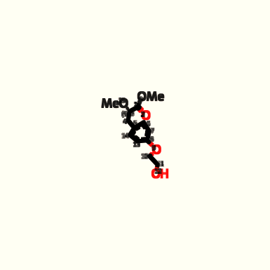 COC(=O)[C@H](Cc1ccc(OCCO)cc1)OC